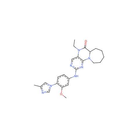 CCN1C(=O)C2CCCCCN2c2nc(Nc3ccc(-n4cnc(C)c4)c(OC)c3)ncc21